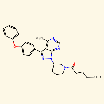 CNc1ncnc2c1c(-c1ccc(Oc3ccccc3)cc1)nn2C1CCCN(C(=O)CCCC=O)C1